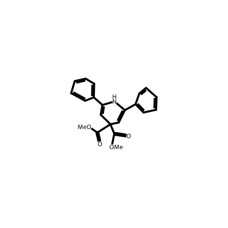 COC(=O)C1(C(=O)OC)C=C(c2ccccc2)NC(c2ccccc2)=C1